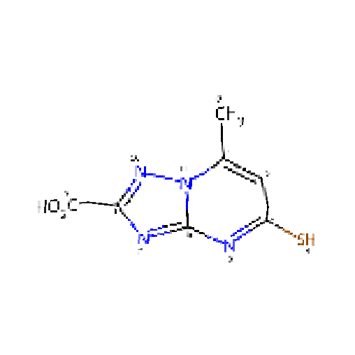 Cc1cc(S)nc2nc(C(=O)O)nn12